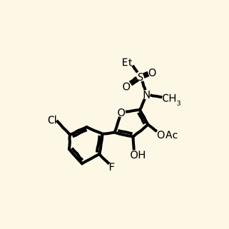 CCS(=O)(=O)N(C)c1oc(-c2cc(Cl)ccc2F)c(O)c1OC(C)=O